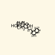 CC(C)(O)CC[C@H](C[C@@H](O)[CH]Cc1cccc2ccccc12)C(N)=O